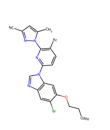 COCCOc1cc2c(cc1Br)ncn2-c1ccc(C(C)=O)c(-n2nc(C#N)cc2C)n1